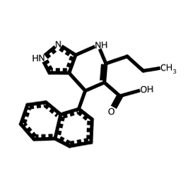 CCCC1=C(C(=O)O)C(c2cccc3ccccc23)c2c[nH]nc2N1